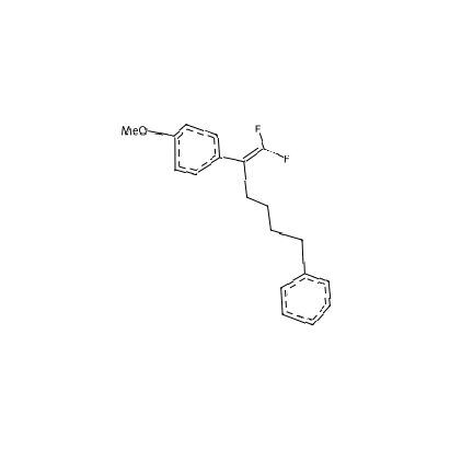 COc1ccc(C(CCCCc2ccccc2)=C(F)F)cc1